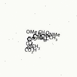 CC[C@H](C)[C@@H]([C@@H](CC(=O)N1CCC[C@H]1C[C@@H](C)C(=O)NCC(=O)O)OC)N(C)C(=O)CNC(=O)C(C)(C)NC